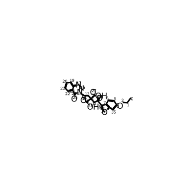 CCCOc1ccc2c(C(=O)CC(CCn3nnc4ccccc4c3=O)(C(=O)O)C(=O)O)coc2c1